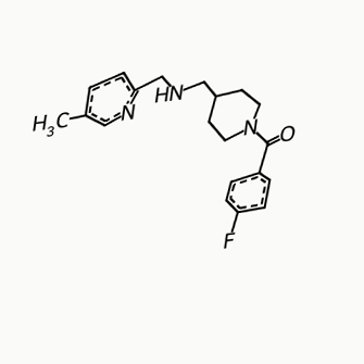 Cc1ccc(CNCC2CCN(C(=O)c3ccc(F)cc3)CC2)nc1